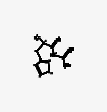 CNC(=N)NC(=N)N(C)Cc1ccsc1